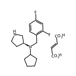 Fc1ccc(CN(C2CCCC2)[C@H]2CCNC2)c(F)c1.O=C(O)/C=C/C(=O)O